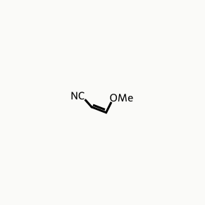 CO/C=C\C#N